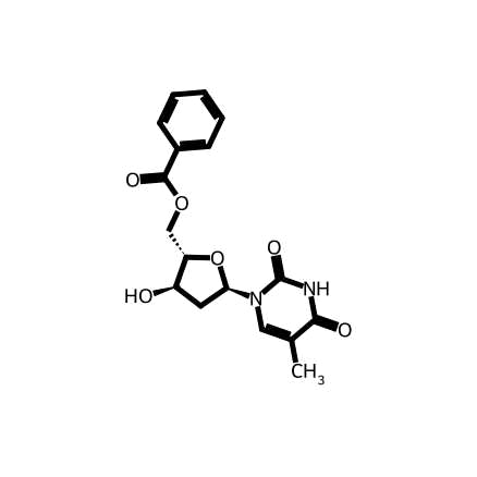 Cc1cn([C@H]2C[C@@H](O)[C@H](COC(=O)c3ccccc3)O2)c(=O)[nH]c1=O